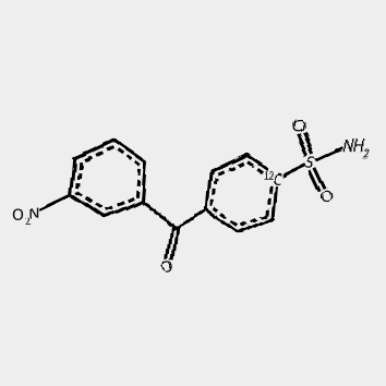 NS(=O)(=O)[12c]1ccc(C(=O)c2cccc([N+](=O)[O-])c2)cc1